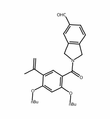 C=C(C)c1cc(C(=O)N2Cc3ccc(C=O)cc3C2)c(OCCCC)cc1OCCCC